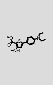 CCN(CC)c1ccc(-c2cc(NC)c(C(=O)OC)s2)cc1